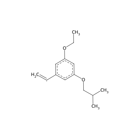 C=[C]c1cc(OCC)cc(OCC(C)C)c1